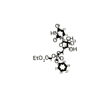 CCOC(=O)CO[P@@](=O)(OC[C@H]1O[C@@H](n2ccc(=O)[nH]c2=O)[C@](C)(Cl)[C@@H]1O)Oc1ccccc1